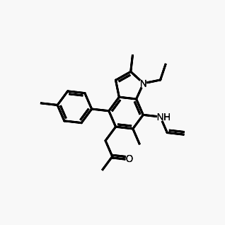 C=CNc1c(C)c(CC(C)=O)c(-c2ccc(C)cc2)c2cc(C)n(CC)c12